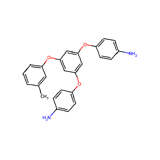 Cc1cccc(Oc2cc(Oc3ccc(N)cc3)cc(Oc3ccc(N)cc3)c2)c1